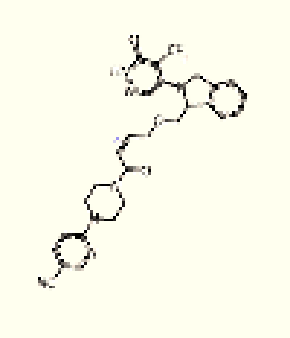 N#Cc1ccc(N2CCN(C(=O)/C=C\COCC3c4ccccc4CN3c3cn[nH]c(=O)c3C(F)(F)F)CC2)nc1